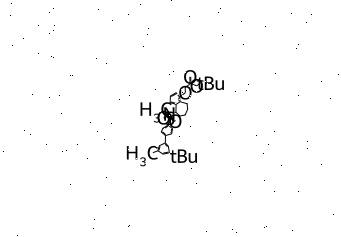 Cc1cc(-c2ccc(S(=O)(=O)N(C)C3CCCCc4c(OCC(=O)OC(C)(C)C)cccc43)cc2)cc(C(C)(C)C)c1